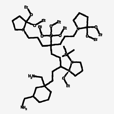 CCOC1(OCC)CCCN1CCCC(CCCN1CCCC1(OCC)OCC)(CCC(CCC1(CN)CCCC(CN)C1)[Si]1(OCC)CCCN1[Si](C)(C)C)[Si](OCC)(OCC)OCC